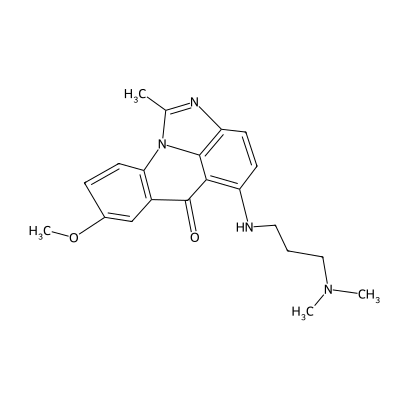 COc1ccc2c(c1)c(=O)c1c(NCCCN(C)C)ccc3nc(C)n2c31